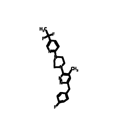 Cc1cc(Cc2ccc(F)cc2)nnc1N1CCN(c2ccc(C(C)(F)F)cn2)CC1